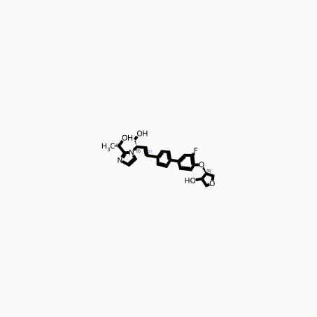 C[C@H](O)c1nccn1[C@@H](/C=C/c1ccc(-c2ccc(O[C@H]3COCC3O)c(F)c2)cc1)CO